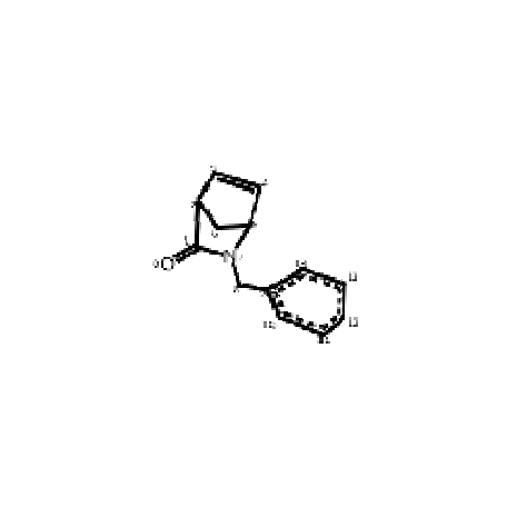 O=C1C2C=CC(C2)N1Cc1ccccc1